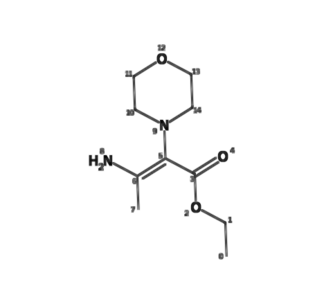 CCOC(=O)C(=C(C)N)N1CCOCC1